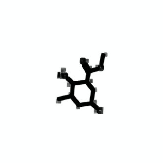 COC(=O)C1CC(Cl)CC(C)C1O